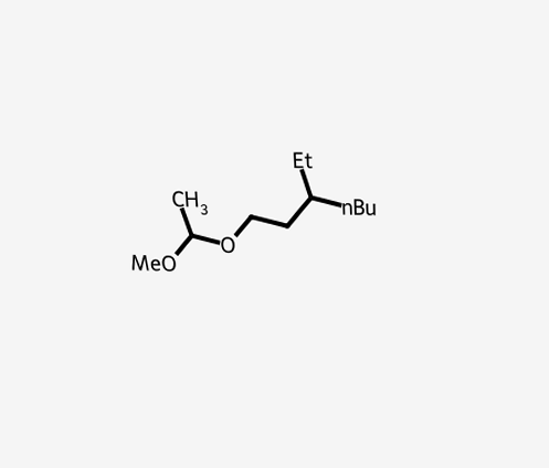 CCCCC(CC)CCOC(C)OC